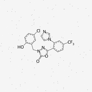 O=c1oc(-c2ccc(C(F)(F)F)cc2-n2ccnc2)nn1Cc1cc(Cl)ccc1O